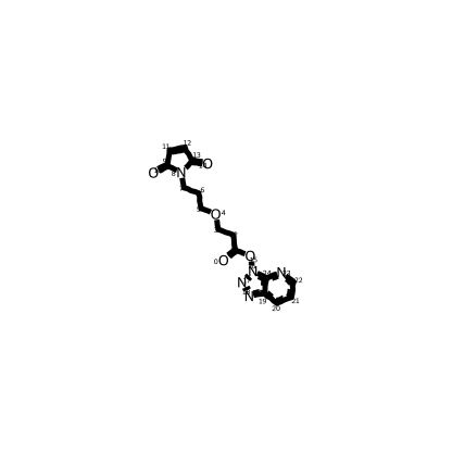 O=C(CCOCCCN1C(=O)C=CC1=O)On1nnc2cccnc21